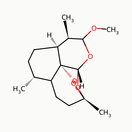 COC1O[C@@H]2O[C@@]3(C)CCC4[C@H](C)CC[C@@H]([C@H]1C)[C@]42OO3